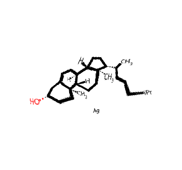 CC(C)CCCC(C)[C@H]1CC[C@H]2[C@@H]3CC=C4C[C@@H](O)CC[C@]4(C)[C@H]3CC[C@]12C.[Ag]